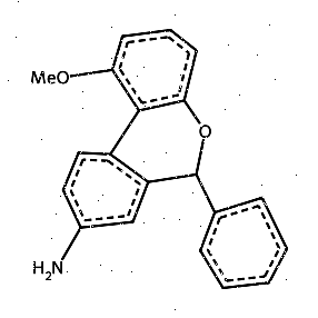 COc1cccc2c1-c1ccc(N)cc1C(c1ccccc1)O2